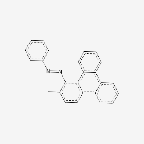 Cc1ccc2c3ccccc3c3ccccc3c2c1N=Nc1ccccc1